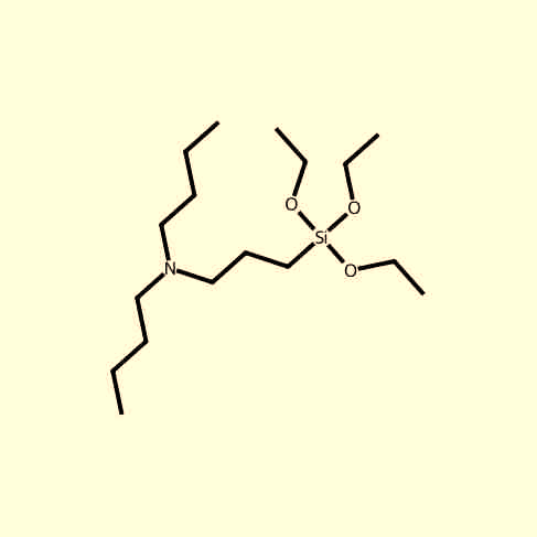 CCCCN(CCCC)CCC[Si](OCC)(OCC)OCC